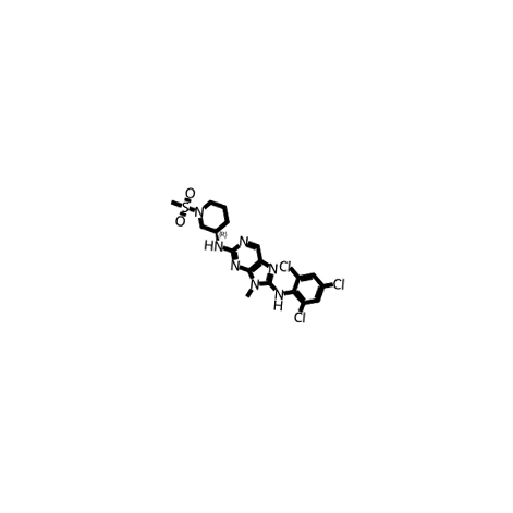 Cn1c(Nc2c(Cl)cc(Cl)cc2Cl)nc2cnc(N[C@@H]3CCCN(S(C)(=O)=O)C3)nc21